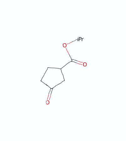 CC(C)OC(=O)C1CCC(=O)C1